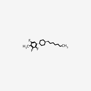 CCCCCCC[C@H]1CC[C@H](c2cc(F)c(C)c(F)c2F)CC1